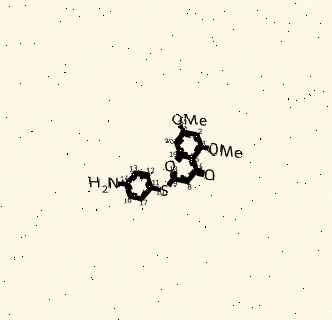 COc1cc(OC)c2c(=O)cc(Sc3ccc(N)cc3)oc2c1